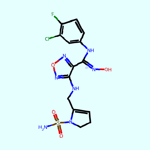 NS(=O)(=O)N1CCC=C1CNc1nonc1/C(=N/O)Nc1ccc(F)c(Cl)c1